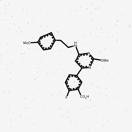 COc1ccc(CC[AsH]c2cc(-c3ccc(F)c(C(=O)O)c3)nc(OC)n2)cc1